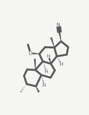 CO[C@H]1C[C@]2(C)[C@@H](C#N)CC[C@H]2[C@@H]2CC[C@H]3[C@@H](C)[C@H](C)CC[C@]3(C)[C@H]21